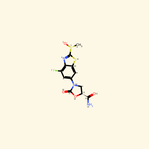 C[S+]([O-])c1nc2c(F)cc(N3C[C@H](C(N)=O)OC3=O)cc2s1